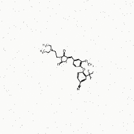 CCN(CC)CCN1C(=O)S/C(=C\c2ccc(Oc3ccc(C#N)cc3C(F)(F)F)c(OC)c2)C1=O